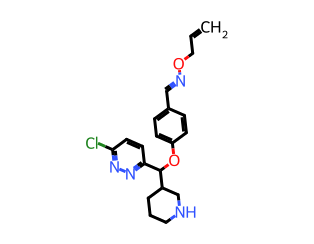 C=CCON=Cc1ccc(OC(c2ccc(Cl)nn2)C2CCCNC2)cc1